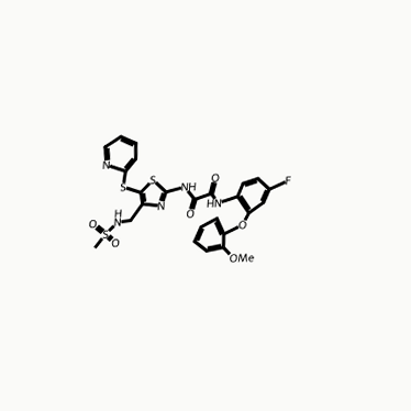 COc1ccccc1Oc1cc(F)ccc1NC(=O)C(=O)Nc1nc(CNS(C)(=O)=O)c(Sc2ccccn2)s1